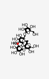 CC(C)C1O[C@H](CO)[C@@H](O)[C@H](O[C@@H]2O[C@H](CO)[C@@H](O)[C@H](O)[C@H]2O)[C@H]1O[C@@H]1O[C@H](CO[C@@H]2O[C@H](CO)[C@@H](O)[C@H](O)[C@H]2O)[C@@H](O)[C@H](O)[C@H]1O